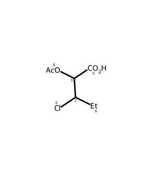 CCC(Cl)C(OC(C)=O)C(=O)O